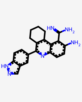 N=C(N)c1c(N)ccc2nc(-c3ccc4[nH]ncc4c3)c3c(c12)CCCC3